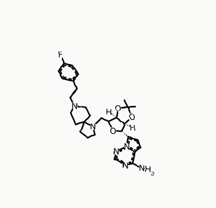 CC1(C)O[C@@H]2[C@H](O1)C(CN1CCCC13CCN(CCc1ccc(F)cc1)CC3)O[C@H]2c1ccc2c(N)ncnn12